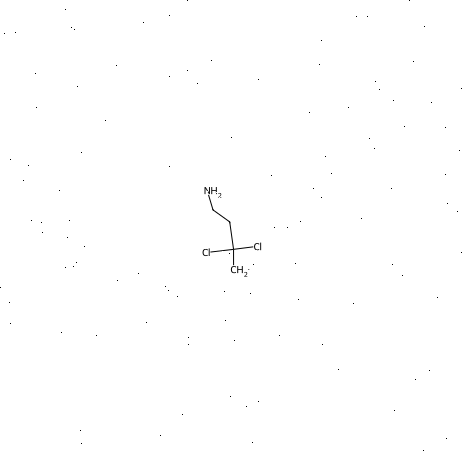 [CH2]C(Cl)(Cl)CCN